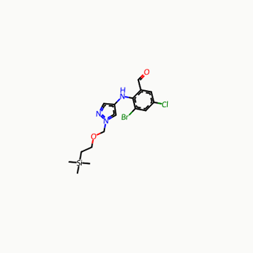 C[Si](C)(C)CCOCn1cc(Nc2c(Br)cc(Cl)cc2C=O)cn1